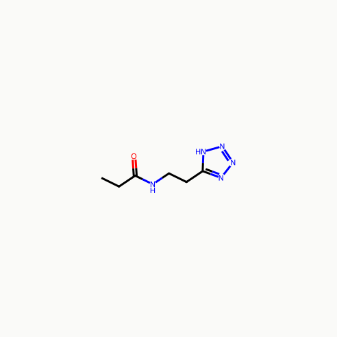 CCC(=O)NCCc1nnn[nH]1